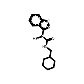 O=C(NCC1CCCCC1)N(S)c1noc2ccccc12